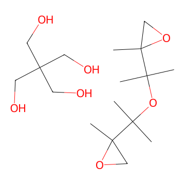 CC(C)(OC(C)(C)C1(C)CO1)C1(C)CO1.OCC(CO)(CO)CO